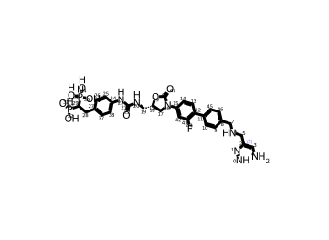 N=N/C(=C\N)CNCc1ccc(-c2ccc(N3C[C@H](CNC(=O)Nc4ccc(CC([PH](=O)O)[PH](O)(O)O)cc4)OC3=O)cc2F)cc1